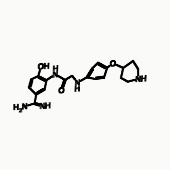 N=C(N)c1ccc(O)c(NC(=O)CNc2ccc(OC3CCNCC3)cc2)c1